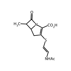 CC(=O)NC=CSC1=C(C(=O)O)N2C(=O)C(C)C2C1